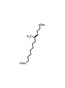 CCCCCCCCCCCC/[C]=C(\C)CCCCCCCCCCCCCCCCC